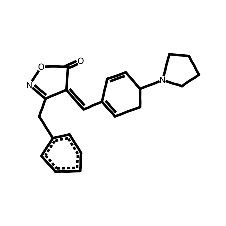 O=C1ON=C(Cc2ccccc2)/C1=C/C1=CCC(N2CCCC2)C=C1